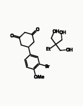 CCC(CO)(CO)CO.COc1ccc(C2CC(=O)CC(=O)C2)cc1Br